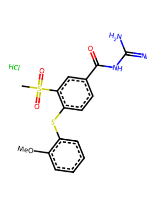 COc1ccccc1Sc1ccc(C(=O)NC(=N)N)cc1S(C)(=O)=O.Cl